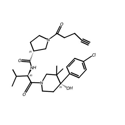 C#CCCC(=O)N1CC[C@@H](C(=O)N[C@@H](C(=O)N2CC[C@](O)(c3ccc(Cl)cc3)C(C)(C)C2)C(C)C)C1